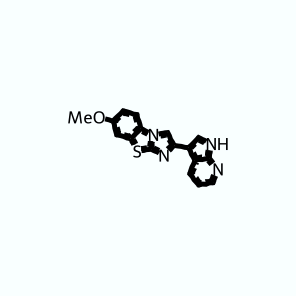 COc1ccc2c(c1)sc1nc(-c3c[nH]c4ncccc34)cn12